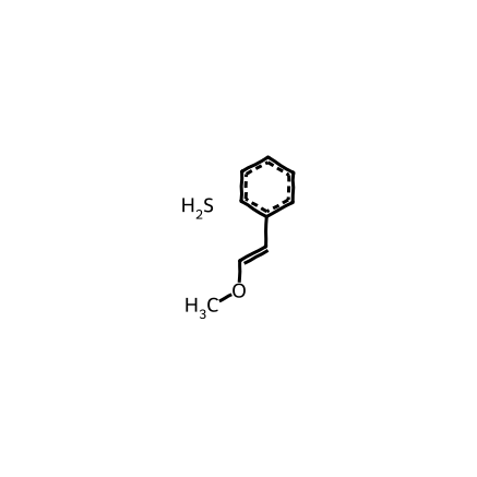 COC=Cc1ccccc1.S